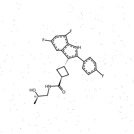 C[C@@H](O)CNC(=O)[C@H]1C[C@H](c2c(-c3ccc(F)cc3)[nH]c3c(F)cc(F)cc32)C1